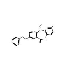 CCN1c2ncc(CCc3ccncc3)cc2C(=O)N(C)c2ccc(O)nc21